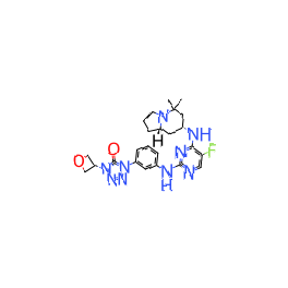 CC1(C)C[C@H](Nc2nc(Nc3cccc(-n4nnn(C5COC5)c4=O)c3)ncc2F)C[C@@H]2CCCN21